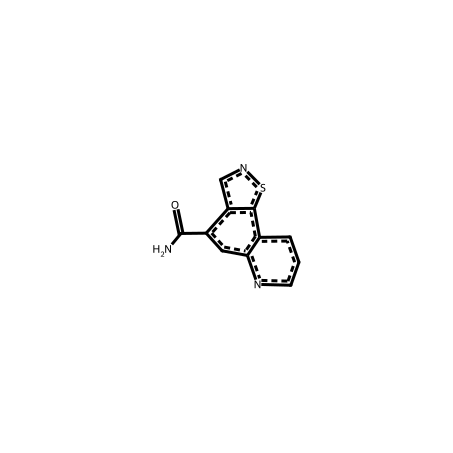 NC(=O)c1cc2ncccc2c2sncc12